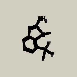 Cn1c(N)nc2cccc(C(F)(F)F)c21